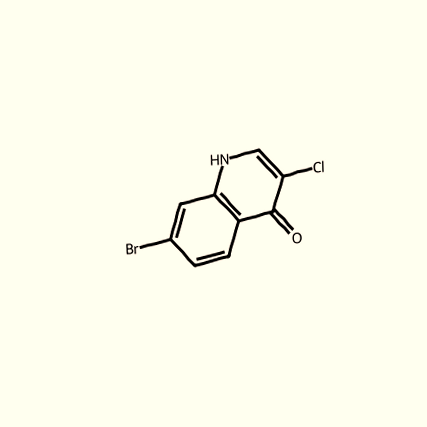 O=c1c(Cl)c[nH]c2cc(Br)ccc12